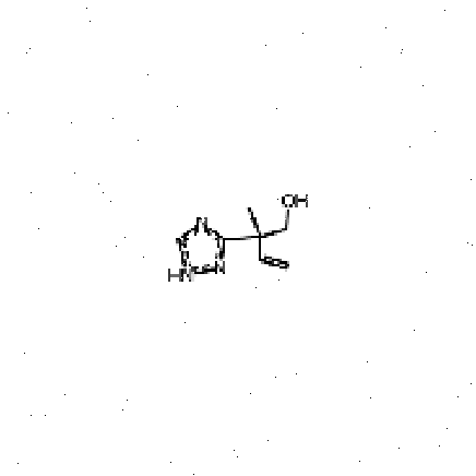 C=CC(C)(CO)c1nc[nH]n1